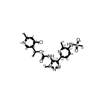 Cc1cc(Cl)c(C(C)OC(=O)Nc2c(-c3ccc(NS(C)(=O)=O)c(C)n3)nnn2C)cn1